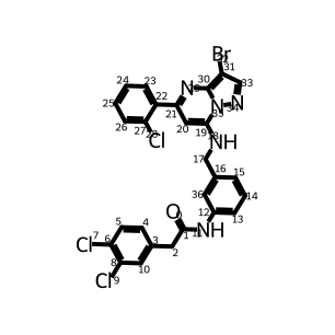 O=C(Cc1ccc(Cl)c(Cl)c1)Nc1cccc(CNc2cc(-c3ccccc3Cl)nc3c(Br)cnn23)c1